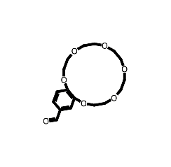 O=Cc1ccc2c(c1)OCCOCCOCCOCCOCCO2